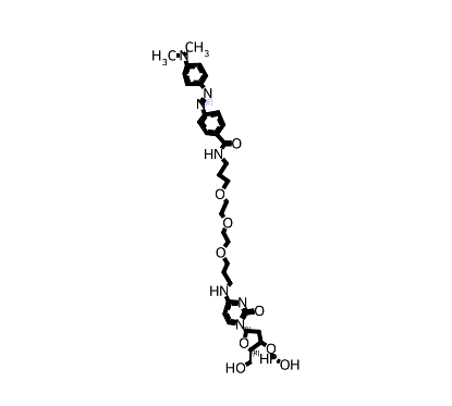 CN(C)c1ccc(/N=N/c2ccc(C(=O)NCCCOCCOCCOCCCNc3ccn([C@H]4CC(OPO)[C@@H](CO)O4)c(=O)n3)cc2)cc1